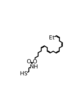 CC/C=C\C/C=C\C/C=C\C/C=C\C/C=C\CCCCOC(=O)NCCS